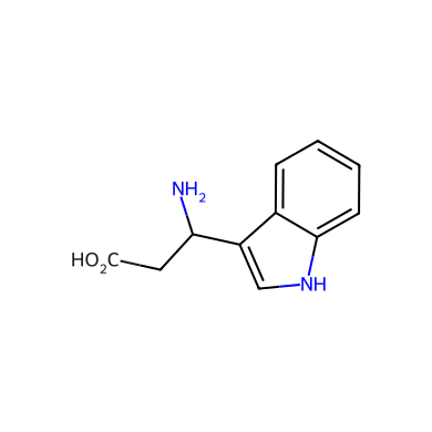 NC(CC(=O)O)c1c[nH]c2ccccc12